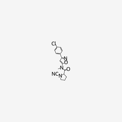 CN(C(=O)C1CCCN1C#N)c1cc(-c2ccc(Cl)cc2)no1